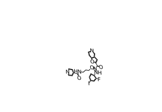 O=C(NCCCON(Nc1ccc(I)cc1F)C(=O)c1cc2cnccc2o1)c1ccncc1